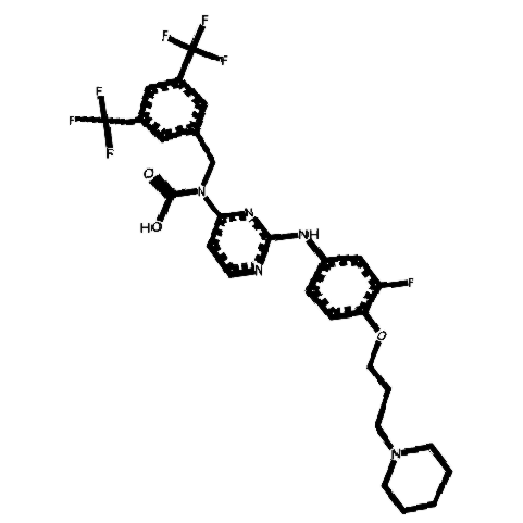 O=C(O)N(Cc1cc(C(F)(F)F)cc(C(F)(F)F)c1)c1ccnc(Nc2ccc(OCCCN3CCCCC3)c(F)c2)n1